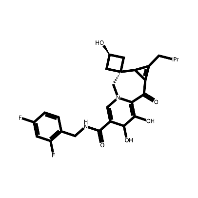 CC(C)CC1=C2C(=O)C3=C(O)C(O)C(C(=O)NCc4ccc(F)cc4F)=CN3C[C@]3(C[C@H](O)C3)C12